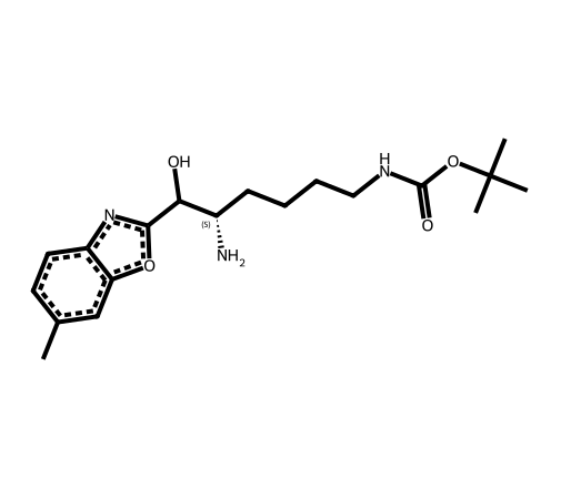 Cc1ccc2nc(C(O)[C@@H](N)CCCCNC(=O)OC(C)(C)C)oc2c1